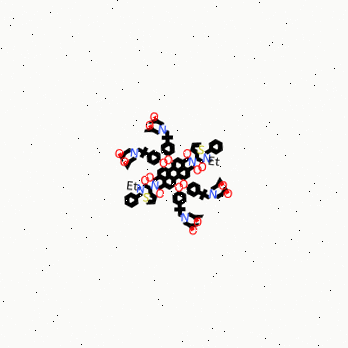 CCN(Cc1ccccc1)C(=O)C(c1cccs1)N1C(=O)c2cc(Oc3ccc(C(C)(C)CN(CC4CO4)CC4CO4)cc3)c3c4c(Oc5ccc(C(C)(C)CN(CC6CO6)CC6CO6)cc5)cc5c6c(cc(Oc7ccc(C(C)(C)CN(CC8CO8)CC8CO8)cc7)c(c7c(Oc8ccc(C(C)(C)CN(CC9CO9)CC9CO9)cc8)cc(c2c37)C1=O)c64)C(=O)N(C(C(=O)N(CC)Cc1ccccc1)c1cccs1)C5=O